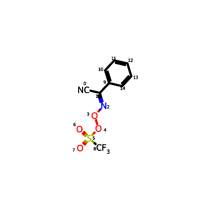 N#CC(=NOOS(=O)(=O)C(F)(F)F)c1ccccc1